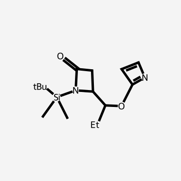 CCC(OC1=NC=C1)C1CC(=O)N1[Si](C)(C)C(C)(C)C